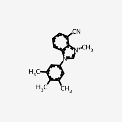 Cc1cc(-n2c[n+](C)c3c(C#N)cccc32)cc(C)c1C